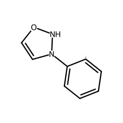 [c]1ccccc1N1C=CON1